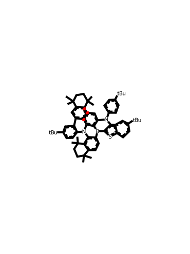 Cc1cc2c3c(c1)N(c1ccc(C(C)(C)C)cc1)c1c(sc4ccc(C(C)(C)C)cc14)B3c1ccc3c(c1N2c1ccc(C(C)(C)C)cc1-c1ccc2c(c1)C(C)(C)CCC2(C)C)C(C)(C)CCC3(C)C